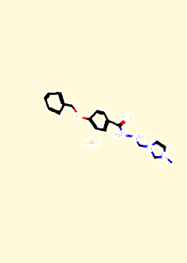 Br.CN1C=CN(CNNC(=O)c2ccc(OCc3ccccc3)cc2)C1